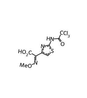 CON=C(C(=O)O)c1csc(NC(=O)C(Cl)(Cl)Cl)n1